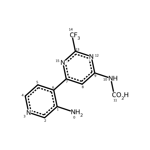 Nc1cnccc1-c1cc(NC(=O)O)nc(C(F)(F)F)n1